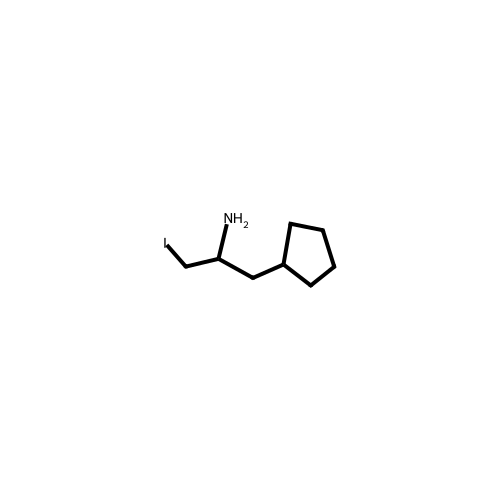 NC(CI)CC1CCCC1